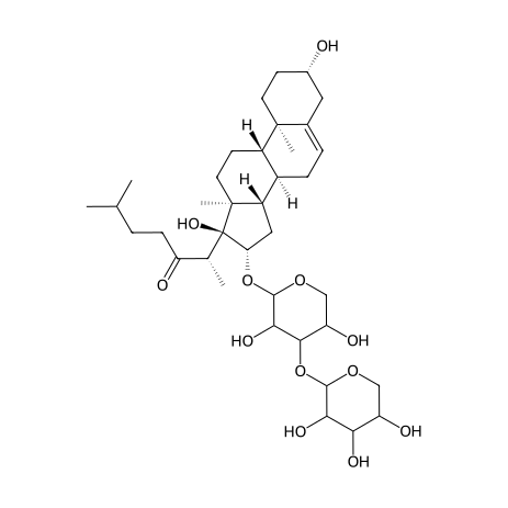 CC(C)CCC(=O)[C@@H](C)[C@@]1(O)[C@@H](OC2OCC(O)C(OC3OCC(O)C(O)C3O)C2O)C[C@H]2[C@@H]3CC=C4C[C@@H](O)CC[C@]4(C)[C@H]3CC[C@@]21C